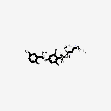 C=N/C(=C\C=N/C)NS(=O)(=O)c1c(F)cc(N[C@@H](N)c2cc(Cl)ccc2F)cc1F